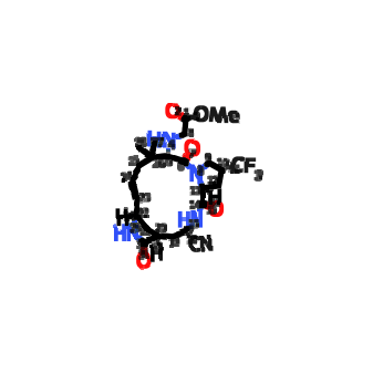 COC(=O)CN[C@@H]1C(=O)N2C[C@H](C(F)(F)F)C[C@H]2C(=O)N[C@H](C#N)C[C@@H]2C[C@@H](/C=C/CC1(C)C)NC2=O